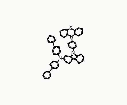 c1ccc(-c2ccc(N(c3ccc(-c4ccccc4)cc3)c3ccc4c5ccccc5n(-c5ccc(N6c7ccccc7Sc7ccccc76)cc5)c4c3)cc2)cc1